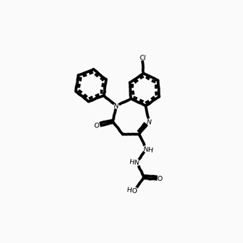 O=C(O)NNC1=Nc2ccc(Cl)cc2N(c2ccccc2)C(=O)C1